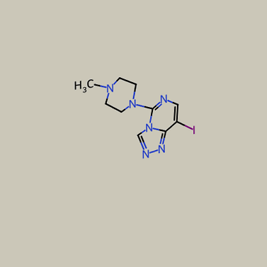 CN1CCN(c2ncc(I)c3nncn23)CC1